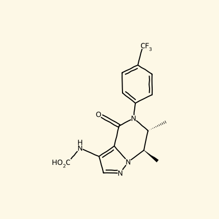 C[C@@H]1[C@@H](C)n2ncc(NC(=O)O)c2C(=O)N1c1ccc(C(F)(F)F)cc1